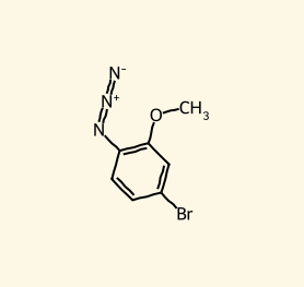 COc1cc(Br)ccc1N=[N+]=[N-]